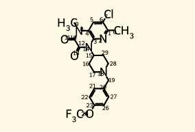 Cc1nc2c(cc1Cl)n(C)c(=O)c(=O)n2C1CCN(Cc2ccc(OC(F)(F)F)cc2)CC1